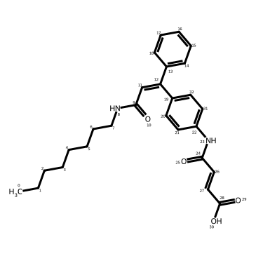 CCCCCCCCNC(=O)C=C(c1ccccc1)c1ccc(NC(=O)C=CC(=O)O)cc1